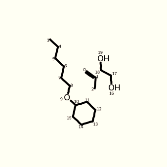 C=CC.CCCCCCOC1CCCCC1.OCCO